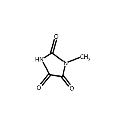 CN1C(=O)NC(=O)C1=O